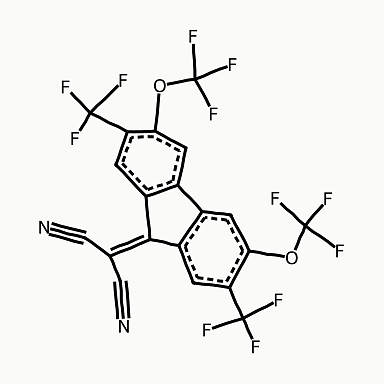 N#CC(C#N)=C1c2cc(C(F)(F)F)c(OC(F)(F)F)cc2-c2cc(OC(F)(F)F)c(C(F)(F)F)cc21